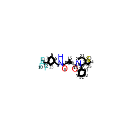 O=C(NCc1cccc(C(F)(F)F)c1)[C@H]1C[C@@H]1C(=O)N1CCc2sccc2C1c1ccccc1